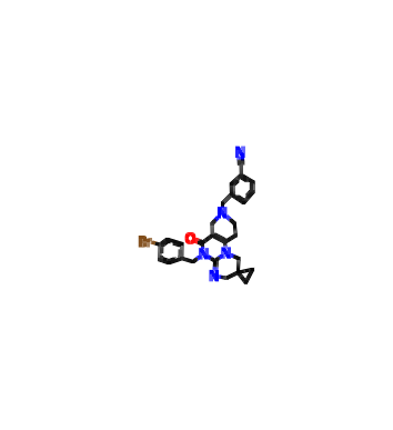 N#Cc1cccc(CN2CCC3=C(C2)C(=O)N(Cc2ccc(Br)cc2)C2=NCC4(CC4)CN23)c1